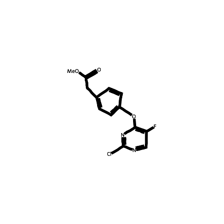 COC(=O)Cc1ccc(Oc2nc(Cl)ncc2F)cc1